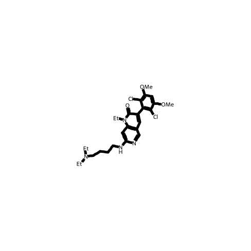 CCN(CC)CCCCNc1cc2c(cn1)cc(-c1c(Cl)c(OC)cc(OC)c1Cl)c(=O)n2CC